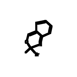 CC1(Br)N=c2ccccc2=CO1